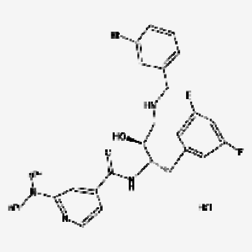 CCCN(CCC)c1cc(C(=O)N[C@@H](Cc2cc(F)cc(F)c2)[C@@H](O)CNCc2cccc(CC)c2)ccn1.Cl